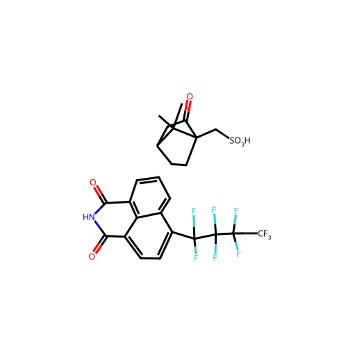 CC1(C)C2CCC1(CS(=O)(=O)O)C(=O)C2.O=C1NC(=O)c2ccc(C(F)(F)C(F)(F)C(F)(F)C(F)(F)F)c3cccc1c23